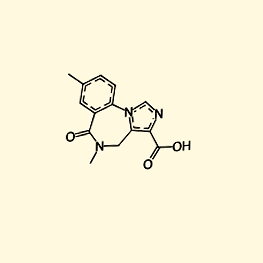 Cc1ccc2c(c1)C(=O)N(C)Cc1c(C(=O)O)ncn1-2